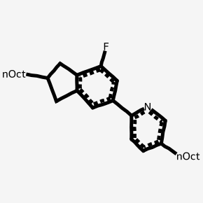 CCCCCCCCc1ccc(-c2cc(F)c3c(c2)CC(CCCCCCCC)C3)nc1